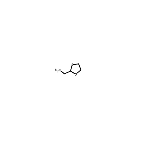 NCC1OCCS1